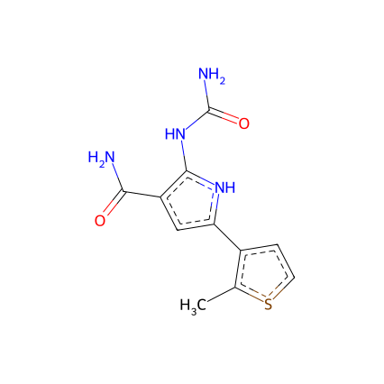 Cc1sccc1-c1cc(C(N)=O)c(NC(N)=O)[nH]1